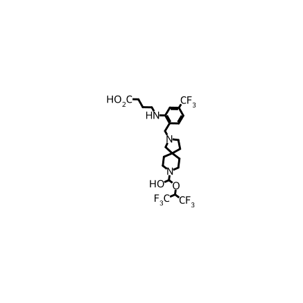 O=C(O)CCCNc1cc(C(F)(F)F)ccc1CN1CCC2(CCN(C(O)OC(C(F)(F)F)C(F)(F)F)CC2)C1